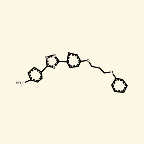 O=C(O)c1ccc(-c2nnc(-c3ccc(OCCCOc4ccccc4)cc3)s2)cc1